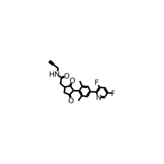 C#CCNC(=O)CC1CC(=O)C(c2c(C)cc(-c3ncc(F)cc3F)cc2C)C1=O